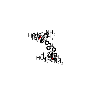 C=CC[C@H]1CC[C@@H](c2ccc(CN(Cc3ccc([C@@H]4CC[C@H](CC=C)N4C(=O)[C@@H](N(C)C(=O)O)C(C)(C)CC(N)=O)cc3)c3ccccc3)cc2)N1C(=O)[C@@H](N(C)C(=O)O)C(C)(C)CC(N)=O